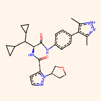 Cc1n[nH]c(C)c1-c1ccc(NC(=O)[C@@H](NC(=O)c2ccnn2C2CCOC2)C(C2CC2)C2CC2)cc1